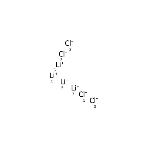 [Cl-].[Cl-].[Cl-].[Cl-].[Li+].[Li+].[Li+].[Li+]